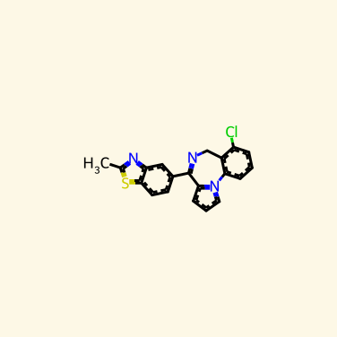 Cc1nc2cc(C3=NCc4c(Cl)cccc4-n4cccc43)ccc2s1